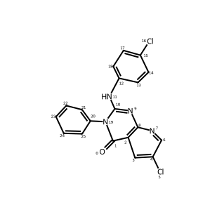 O=c1c2cc(Cl)cnc2nc(Nc2ccc(Cl)cc2)n1-c1ccccc1